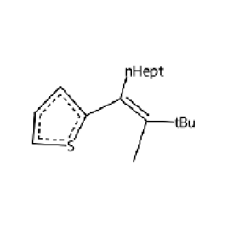 CCCCCCC/C(=C(/C)C(C)(C)C)c1cccs1